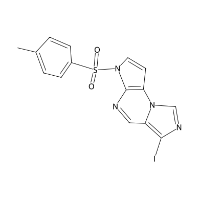 Cc1ccc(S(=O)(=O)n2ccc3c2ncc2c(I)ncn23)cc1